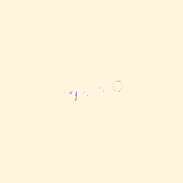 C[C@H](CNCC(=O)N1CCc2ccccc2C1C1CCC1)N=O